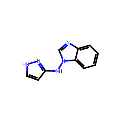 c1ccc2c(c1)ncn2Nc1cc[nH]n1